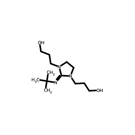 CC(C)(C)N=C1N(CCCO)CCN1CCCO